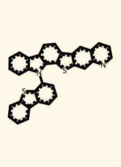 c1cnc2cc3sc4c(ccc5c6ccccc6n(-c6cccc7c6sc6ccccc67)c54)c3cc2c1